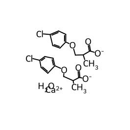 CC(COc1ccc(Cl)cc1)C(=O)[O-].CC(COc1ccc(Cl)cc1)C(=O)[O-].O.[Ca+2]